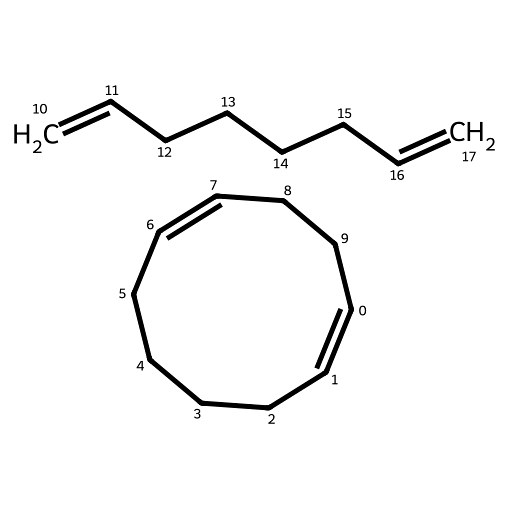 C1=CCCCCC=CCC1.C=CCCCCC=C